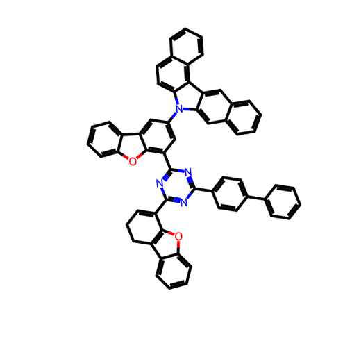 C1=C(c2nc(-c3ccc(-c4ccccc4)cc3)nc(-c3cc(-n4c5cc6ccccc6cc5c5c6ccccc6ccc54)cc4c3oc3ccccc34)n2)c2oc3ccccc3c2CC1